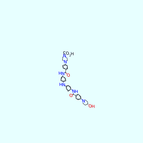 O=C(Nc1ccc(Nc2ccc(NC(=O)c3ccc(N4CCN(C(=O)O)CC4)cc3)cc2)cc1)c1ccc(N2CCC(O)CC2)cc1